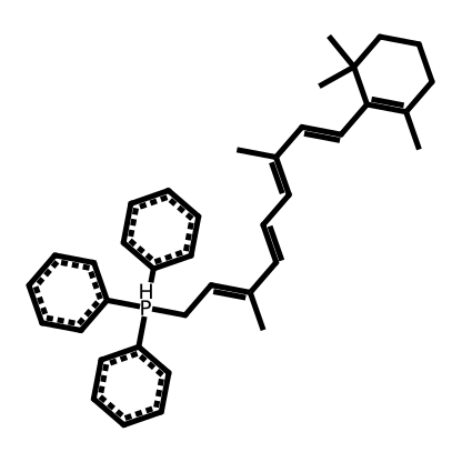 CC(C=CC1=C(C)CCCC1(C)C)=CC=CC(C)=CC[PH](c1ccccc1)(c1ccccc1)c1ccccc1